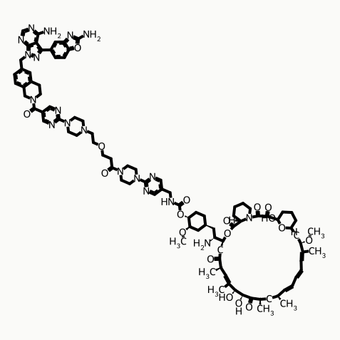 CO[C@H]1C[C@@H]2CCC[C@@](O)(O2)C(=O)C(=O)N2CCCC[C@H]2C(=O)O[C@H]([C@H](N)C[C@@H]2CC[C@@H](OC(=O)NCc3cnc(N4CCN(C(=O)CCOCCN5CCN(c6ncc(C(=O)N7CCc8cc(Cn9nc(-c%10ccc%11oc(N)nc%11c%10)c%10c(N)ncnc%109)ccc8C7)cn6)CC5)CC4)nc3)[C@H](OC)C2)CC(=O)[C@H](C)/C=C(\C)[C@@H](O)[C@@H](O)C(=O)[C@H](C)C[C@H](C)/C=C/C=C/C=C/1C